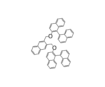 c1ccc2cc(COc3ccc4ccccc4c3-c3cccc4ccccc34)c(COc3ccc4ccccc4c3-c3cccc4ccccc34)cc2c1